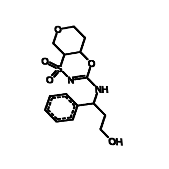 O=S1(=O)N=C(NC(CCO)c2ccccc2)OC2CCOCC21